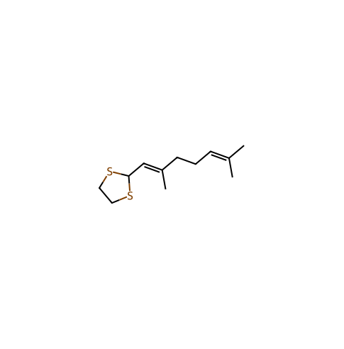 CC(C)=CCC/C(C)=C/C1SCCS1